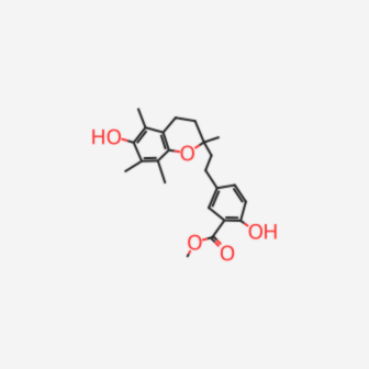 COC(=O)c1cc(CCC2(C)CCc3c(C)c(O)c(C)c(C)c3O2)ccc1O